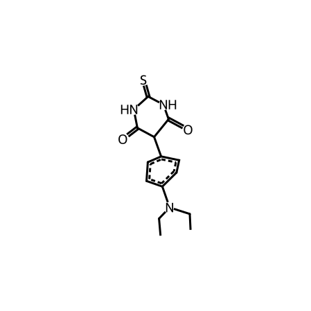 CCN(CC)c1ccc(C2C(=O)NC(=S)NC2=O)cc1